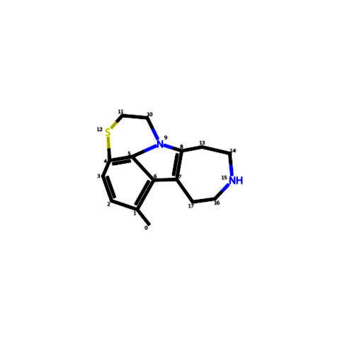 Cc1ccc2c3c1c1c(n3CCS2)CCNCC1